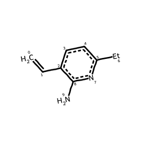 C=Cc1ccc(CC)nc1N